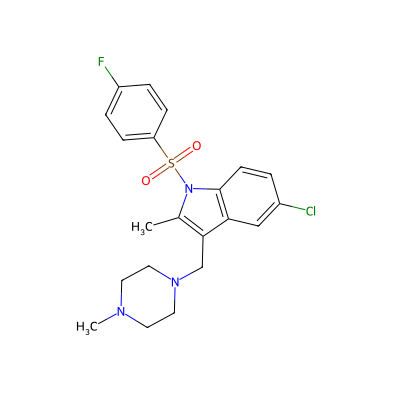 Cc1c(CN2CCN(C)CC2)c2cc(Cl)ccc2n1S(=O)(=O)c1ccc(F)cc1